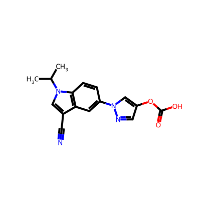 CC(C)n1cc(C#N)c2cc(-n3cc(OC(=O)O)cn3)ccc21